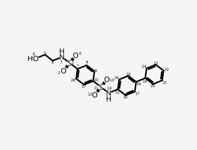 O=S(=O)(NCCO)c1ccc(S(=O)(=O)Nc2ccc(-c3ccccc3)cc2)cc1